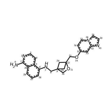 Nc1nccc2c(NCC34COC(COc5ccn6ccnc6c5)(C3)C4)cccc12